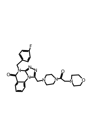 O=C(CN1CCOCC1)N1CCN(Cc2nnc3n(Cc4ccc(F)cc4)c(=O)c4ccccc4n23)CC1